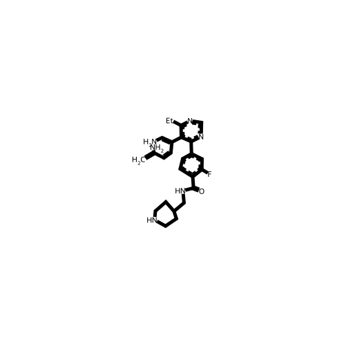 C=C(N)/C=C\C(=C/N)c1c(CC)ncnc1-c1ccc(C(=O)NCC2CCNCC2)c(F)c1